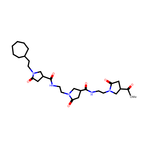 COC(=O)C1CC(=O)N(CCNC(=O)C2CC(=O)N(CCNC(=O)C3CC(=O)N(CCC4CCCCCC4)C3)C2)C1